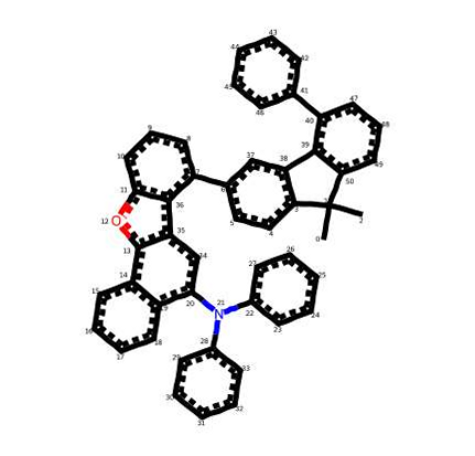 CC1(C)c2ccc(-c3cccc4oc5c6ccccc6c(N(c6ccccc6)c6ccccc6)cc5c34)cc2-c2c(-c3ccccc3)cccc21